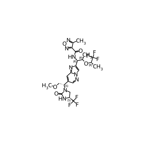 COC[C@H](c1cnn2cc([C@@H](NC(=O)c3nonc3C)[C@@H](C)O[C@H](C)C(F)(F)F)nc2c1)N1C[C@@H](C(F)(F)F)NC1=O